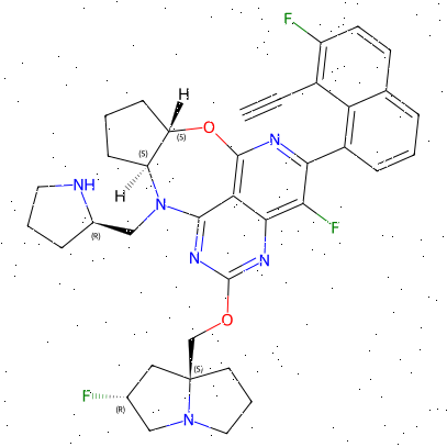 C#Cc1c(F)ccc2cccc(-c3nc4c5c(nc(OC[C@@]67CCCN6C[C@H](F)C7)nc5c3F)N(C[C@H]3CCCN3)[C@H]3CCC[C@@H]3O4)c12